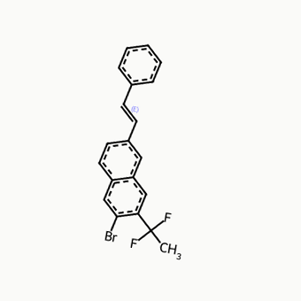 CC(F)(F)c1cc2cc(/C=C/c3ccccc3)ccc2cc1Br